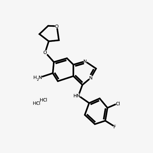 Cl.Cl.Nc1cc2c(Nc3ccc(F)c(Cl)c3)ncnc2cc1OC1CCOC1